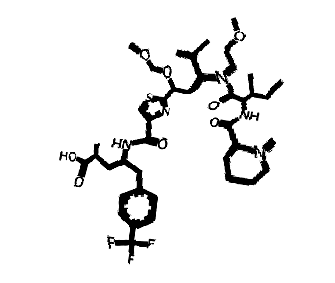 CCC(C)C(NC(=O)C1CCCCN1C)C(=O)N(CCOC)C(CC(OCOC)c1nc(C(=O)NC(Cc2ccc(C(F)(F)F)cc2)CC(C)C(=O)O)cs1)C(C)C